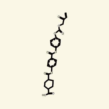 C=CC(=O)COC(=O)Oc1ccc(OC(=O)c2ccc(OC(=O)C3CCC(C(=O)O)CC3)cc2)cc1